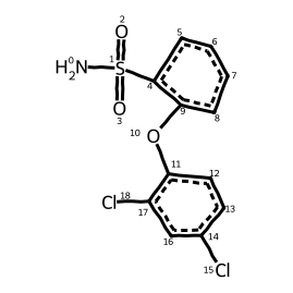 NS(=O)(=O)c1ccccc1Oc1ccc(Cl)cc1Cl